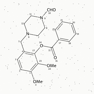 COc1ccc(CN2CCN(C=O)CC2)c(OC(=O)c2ccccc2)c1OC